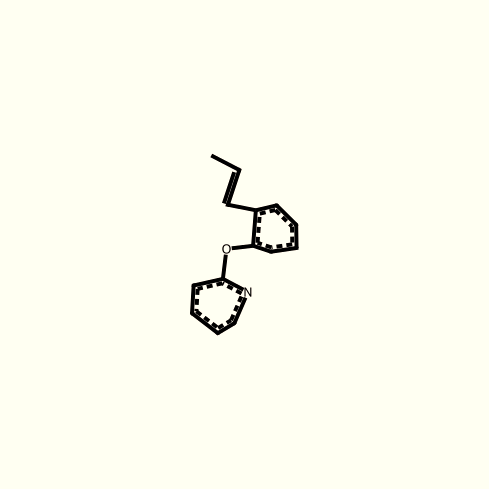 CC=Cc1ccccc1Oc1ccccn1